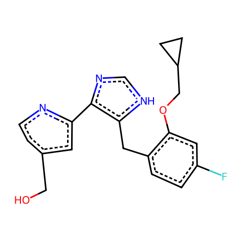 OCc1ccnc(-c2nc[nH]c2Cc2ccc(F)cc2OCC2CC2)c1